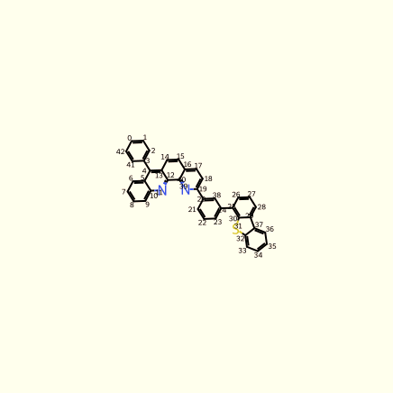 c1ccc(-c2c3ccccc3nc3c2ccc2ccc(-c4cccc(-c5cccc6c5sc5ccccc56)c4)nc23)cc1